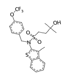 Cc1c(N(Cc2ccc(OC(F)(F)F)cc2)S(=O)(=O)CCC(C)(C)O)sc2ccccc12